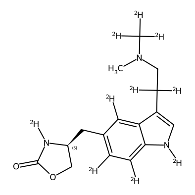 [2H]c1c(C[C@H]2COC(=O)N2[2H])c([2H])c2c(C([2H])([2H])CN(C)C([2H])([2H])[2H])cn([2H])c2c1[2H]